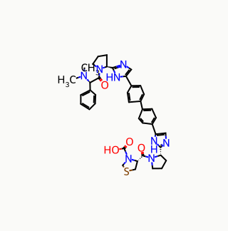 CN(C)[C@@H](C(=O)N1CCC[C@H]1c1ncc(-c2ccc(-c3ccc(-c4cnc([C@@H]5CCCN5C(=O)[C@@H]5CSCN5C(=O)O)[nH]4)cc3)cc2)[nH]1)c1ccccc1